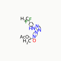 C=C(COC(C)=O)C(=O)N1CCN(c2nccnc2Nc2ccc(C(C)(F)F)cc2)CC1